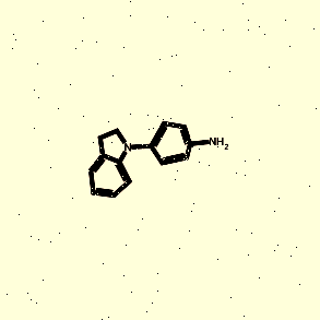 Nc1ccc(N2CCc3ccccc32)cc1